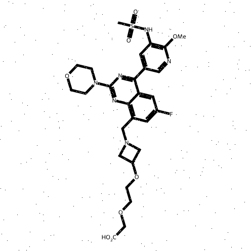 COc1ncc(-c2nc(N3CCOCC3)nc3c(CN4CC(OCCOCC(=O)O)C4)cc(F)cc23)cc1NS(C)(=O)=O